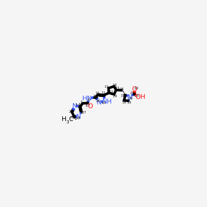 Cc1cnc(CC(=O)Nc2cc(C3CCC(C[C@H]4CCN4C(=O)O)C3)[nH]n2)cn1